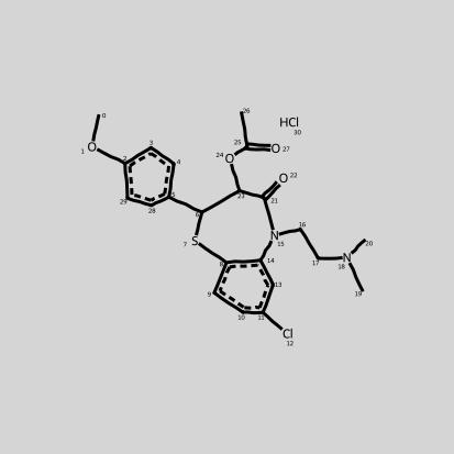 COc1ccc(C2Sc3ccc(Cl)cc3N(CCN(C)C)C(=O)C2OC(C)=O)cc1.Cl